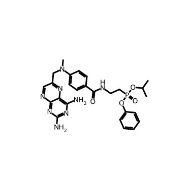 CC(C)OP(=O)(CCNC(=O)c1ccc(N(C)Cc2cnc3nc(N)nc(N)c3n2)cc1)Oc1ccccc1